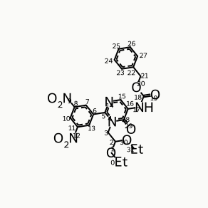 CCOC(Cn1c(-c2cc([N+](=O)[O-])cc([N+](=O)[O-])c2)ncc(NC(=O)OCc2ccccc2)c1=O)OCC